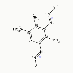 [2H]/N=N/c1c(N)c(/N=N/C)cc(S(=O)(=O)O)c1N